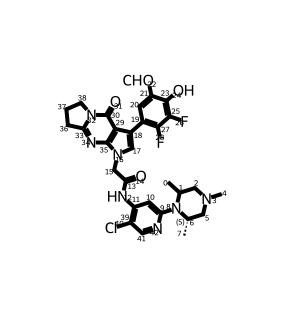 CC1CN(C)C[C@H](C)N1c1cc(NC(=O)Cn2cc(-c3cc(C=O)c(O)c(F)c3F)c3c(=O)n4c(nc32)CCC4)c(Cl)cn1